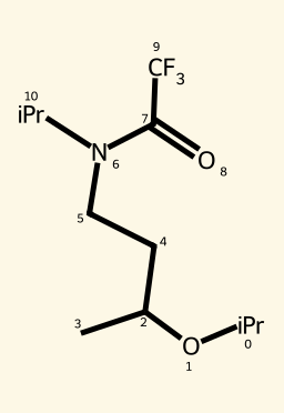 CC(C)OC(C)CCN(C(=O)C(F)(F)F)C(C)C